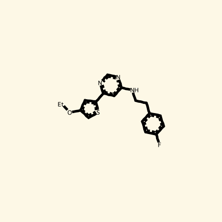 CCOc1csc(-c2cc(NCCc3ccc(F)cc3)ncn2)c1